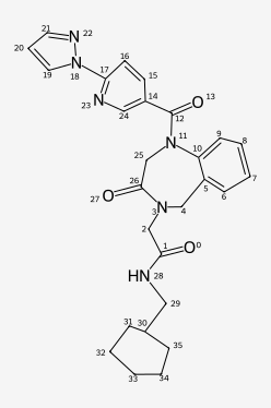 O=C(CN1Cc2ccccc2N(C(=O)c2ccc(-n3cccn3)nc2)CC1=O)NCC1CCCCC1